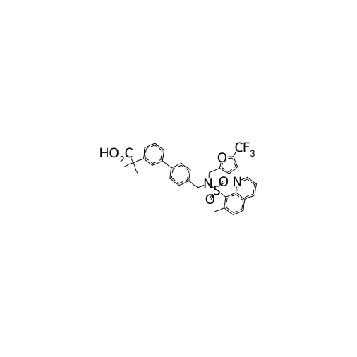 Cc1ccc2cccnc2c1S(=O)(=O)N(Cc1ccc(-c2cccc(C(C)(C)C(=O)O)c2)cc1)Cc1ccc(C(F)(F)F)o1